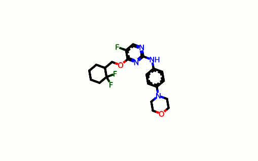 Fc1cnc(Nc2ccc(N3CCOCC3)cc2)nc1OCC1CCCCC1(F)F